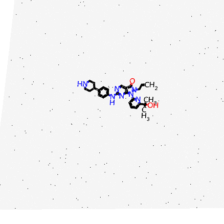 C=CCn1c(=O)c2cnc(Nc3ccc(C4CCNCC4)cc3)nc2n1-c1cccc(C(C)(C)O)n1